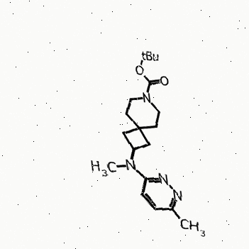 Cc1ccc(N(C)C2CC3(CCN(C(=O)OC(C)(C)C)CC3)C2)nn1